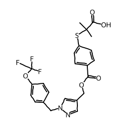 CC(C)(Sc1ccc(C(=O)OCc2cnn(Cc3ccc(OC(F)(F)F)cc3)c2)cc1)C(=O)O